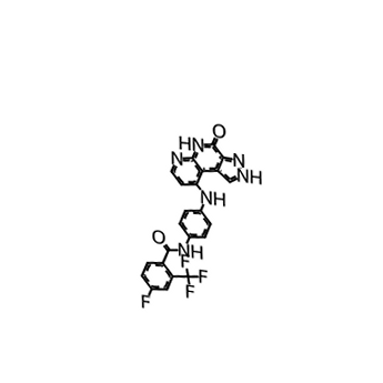 O=C(Nc1ccc(Nc2ccnc3[nH]c(=O)c4n[nH]cc4c23)cc1)c1ccc(F)cc1C(F)(F)F